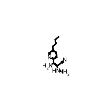 CCCCc1ccc(/C(N)=C(\C#N)NN)nc1